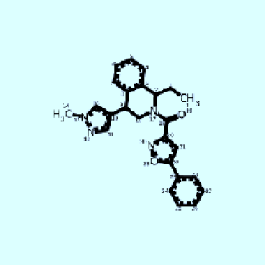 CCC1c2ccccc2C(c2cnn(C)c2)CN1C(=O)c1cc(-c2ccccc2)on1